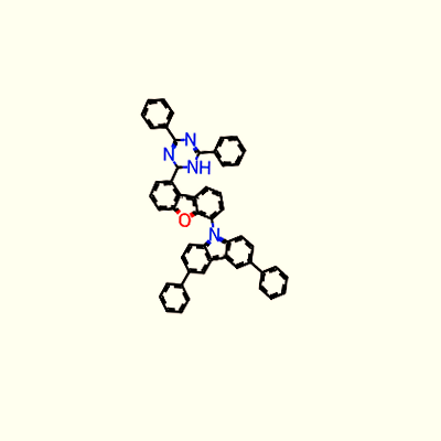 c1ccc(C2=NC(c3cccc4oc5c(-n6c7ccc(-c8ccccc8)cc7c7cc(-c8ccccc8)ccc76)cccc5c34)NC(c3ccccc3)=N2)cc1